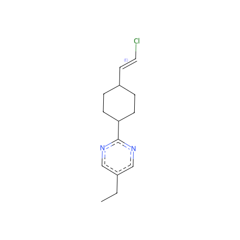 CCc1cnc(C2CCC(/C=C/Cl)CC2)nc1